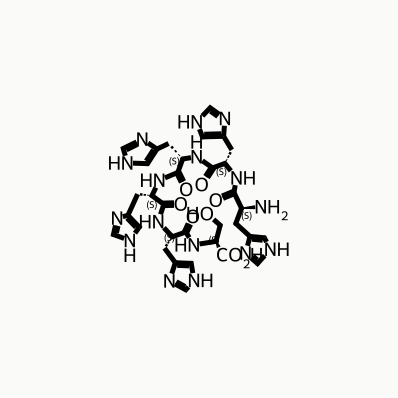 N[C@@H](Cc1c[nH]cn1)C(=O)N[C@@H](Cc1c[nH]cn1)C(=O)N[C@@H](Cc1c[nH]cn1)C(=O)N[C@@H](Cc1c[nH]cn1)C(=O)N[C@@H](Cc1c[nH]cn1)C(=O)N[C@@H](CO)C(=O)O